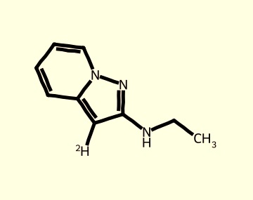 [2H]c1c(NCC)nn2ccccc12